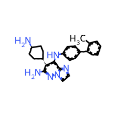 Cc1ccccc1-c1ccc(Nc2c3nccn3nc(N)c2[C@H]2CC[C@H](N)CC2)cc1